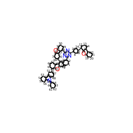 c1ccc(-c2nc(-c3ccc(-c4cccc5c4oc4ccccc45)cc3)nc(-c3cccc4oc5ccc(-c6cccc7oc8c(-c9ccc%10c(c9)c9ccccc9n%10-c9ccccc9)cccc8c67)cc5c34)n2)cc1